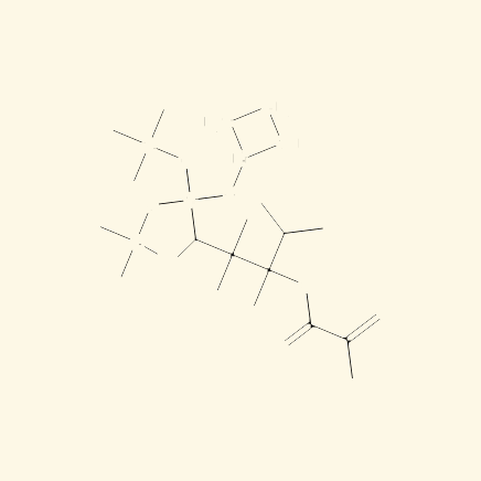 C=C(C)C(=O)OC(C)(C(C)C)C(C)(C)C(C)[Si](O[SiH]1[SiH2][SiH2][SiH2]1)(O[Si](C)(C)C)O[Si](C)(C)C